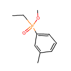 CCP(=O)(OC)c1cccc(C)c1